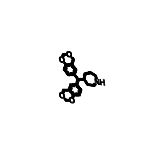 c1cc2c(cc1C(c1ccc3c(c1)COCO3)C1CCCNCC1)COCO2